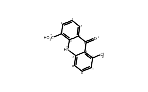 O=C(O)c1cccc2c(=O)c3c(Cl)cccc3[nH]c12